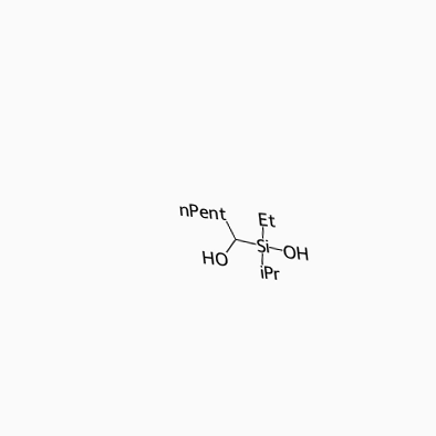 CCCCCC(O)[Si](O)(CC)C(C)C